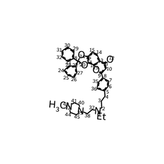 CCN(CCCc1ccc(-c2cc(=O)c3ccc4c(c3o2)OC(c2ccccc2)(c2ccccc2)O4)cc1)CCN1CCN(C)CC1